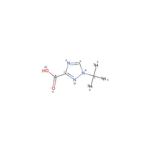 [2H]C([2H])([2H])n1cnc(C(=O)O)n1